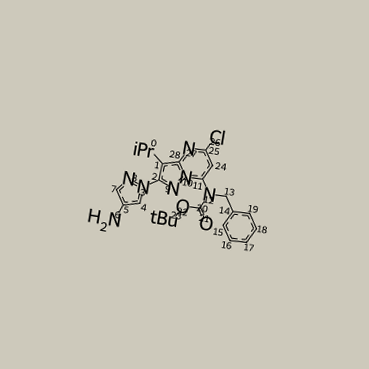 CC(C)c1c(-n2cc(N)cn2)nn2c(N(Cc3ccccc3)C(=O)OC(C)(C)C)cc(Cl)nc12